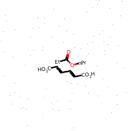 CCCOC(=O)CC.O=C(O)/C=C/C=C/C(=O)O